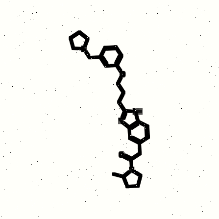 CC1CCCN1C(=O)Cc1ccc2[nH]c(CCCOc3cccc(CN4CCCC4)c3)nc2c1